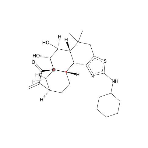 C=C1C(=O)[C@]23[C@H](O)[C@H]1CC[C@H]2[C@@]12CO[C@@]3(O)[C@@H](O)[C@@H]1C(C)(C)Cc1sc(NC3CCCCC3)nc12